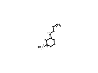 NCCO[C@H]1CCCN(C(=O)O)C1